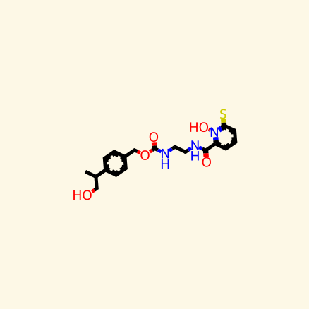 CC(CO)c1ccc(COC(=O)NCCNC(=O)c2cccc(=S)n2O)cc1